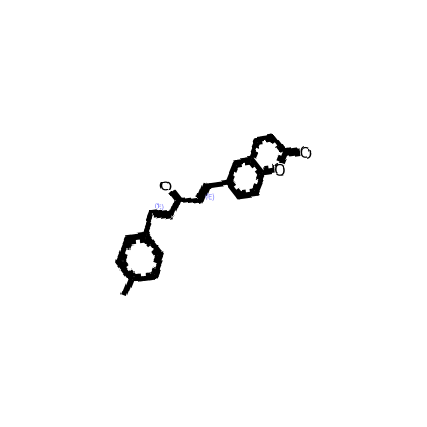 Cc1ccc(/C=C/C(=O)/C=C/c2ccc3oc(=O)ccc3c2)cc1